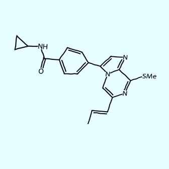 CC=Cc1cn2c(-c3ccc(C(=O)NC4CC4)cc3)cnc2c(SC)n1